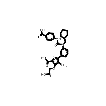 Cc1c(-c2cccc(N(CC3CCCCC3)C(=O)Nc3ccc(C(=O)O)cc3)c2)sc(C(=O)O)c1OCC(=O)O